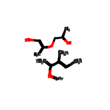 CC(O)COC(C)CO.CCCOC(C(=O)O)C(CC(=O)O)C(=O)O